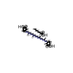 CC1=C(/C=C/C(C)=C/C=C/C(C)=C/C=C/C=C(C)/C=C/C=C(C)/C=C/C2=C(C)C(=O)C(O)CC2(C)C)C(C)(C)CC(O)C1=O.CCCCCCCC(=O)O